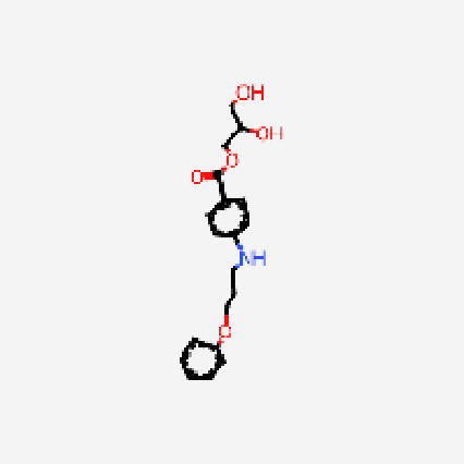 O=C(OCC(O)CO)c1ccc(NCCCOc2ccccc2)cc1